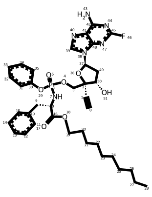 C#C[C@]1(COP(=O)(N[C@@H](Cc2ccccc2)C(=O)OCCCCCCCCCC)Oc2ccccc2)O[C@@H](n2cnc3c(N)nc(F)nc32)C[C@@H]1O